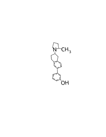 CC1CCCN1C1CCc2cc(-c3cccc(O)c3)ccc2C1